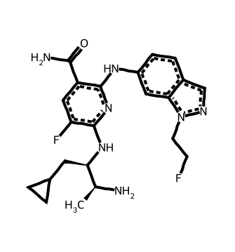 C[C@H](N)[C@@H](CC1CC1)Nc1nc(Nc2ccc3cnn(CCF)c3c2)c(C(N)=O)cc1F